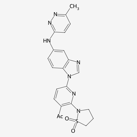 CC(=O)c1ccc(-n2cnc3cc(Nc4ccc(C)nn4)ccc32)nc1N1CCCS1(=O)=O